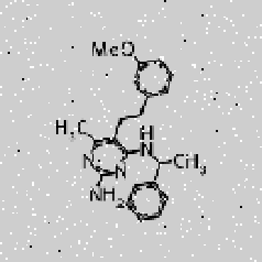 COc1cccc(CCc2c(C)nc(N)nc2N[C@@H](C)c2ccccc2)c1